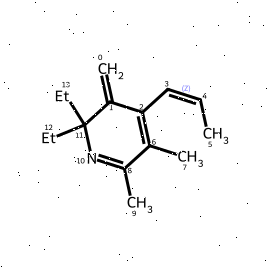 C=C1C(/C=C\C)=C(C)C(C)=NC1(CC)CC